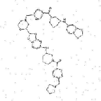 O=C(c1ccc(CN2CCOC(C3Oc4ccc(NC5CCCN(C(=O)c6ccc(CN7CCCC7)cc6)C5)cc4O3)C2)cc1)N1CCCC(Nc2ccc3c(c2)OCO3)C1